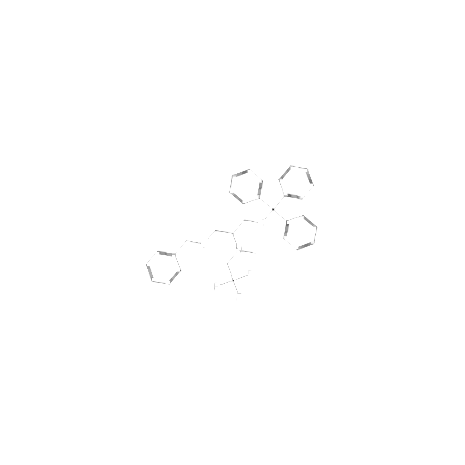 CN(CC(F)(F)F)C(COCc1ccccc1)CSC(c1ccccc1)(c1ccccc1)c1ccccc1